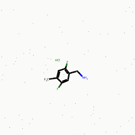 Cl.NCc1cc(F)c(C(F)(F)F)cc1F